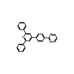 c1ccc(-c2cc(-c3ccc(-c4ncccn4)cc3)cc(-c3ccccc3)n2)cc1